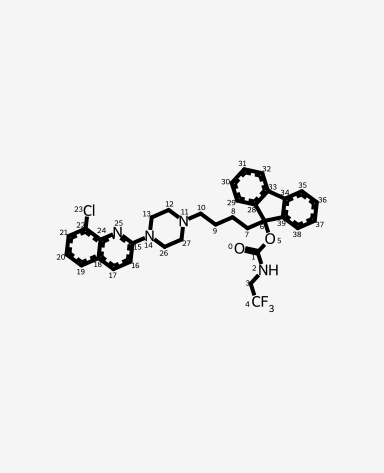 O=C(NCC(F)(F)F)OC1(CCCCN2CCN(c3ccc4cccc(Cl)c4n3)CC2)c2ccccc2-c2ccccc21